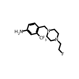 Nc1ccc(CN2CCN(CCF)CC2)c(C(F)(F)F)c1